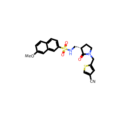 COc1ccc2ccc(S(=O)(=O)NC[C@@H]3CCN(Cc4cc(C#N)cs4)C3=O)cc2c1